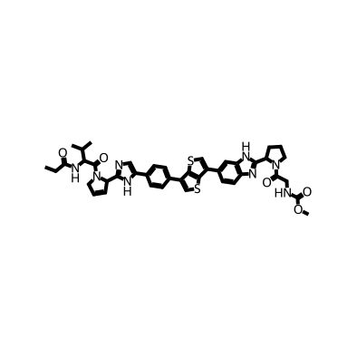 CCC(=O)NC(C(=O)N1CC=CC1c1ncc(-c2ccc(-c3csc4c(-c5ccc6nc(C7CCCN7C(=O)CNC(=O)OC)[nH]c6c5)csc34)cc2)[nH]1)C(C)C